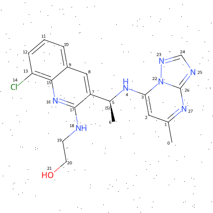 Cc1cc(N[C@@H](C)c2cc3cccc(Cl)c3nc2NCCO)n2ncnc2n1